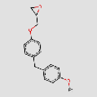 CCOc1ccc(Cc2ccc(OCC3CO3)cc2)cc1